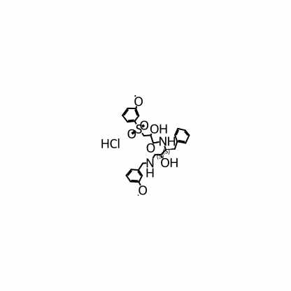 COc1cccc(CNC[C@H](O)[C@H](Cc2ccccc2)NC(=O)C(O)CS(=O)(=O)c2cccc(OC)c2)c1.Cl